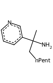 CCCCCCC(C)(N)c1cccnc1